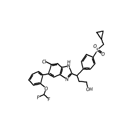 O=S(=O)(CC1CC1)c1ccc(C(CCO)c2nc3cc(-c4ccccc4OC(F)F)c(Cl)cc3[nH]2)cc1